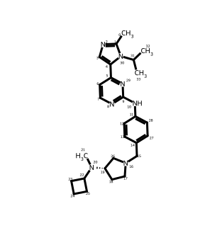 Cc1ncc(-c2ccnc(Nc3ccc(CN4CC[C@H](N(C)C5CCC5)C4)cc3)n2)n1C(C)C